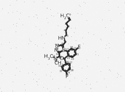 C=CCCCCNCc1nnc(CN(C)C)n1-c1cc(F)ccc1C(=O)c1ccc(F)cc1